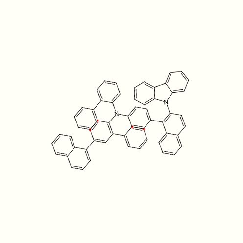 c1ccc(-c2ccccc2N(c2ccc(-c3c(-n4c5ccccc5c5ccccc54)ccc4ccccc34)cc2)c2ccc(-c3cccc4ccccc34)cc2-c2ccccc2)cc1